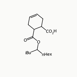 CCCCCCC(OC(=O)C1CC=CCC1C(=O)O)C(C)CC